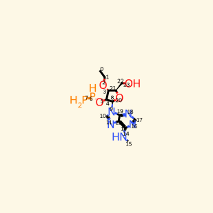 CCO[C@@H]1C(OPP)[C@H](n2cnc3c(NC)ncnc32)O[C@@H]1CO